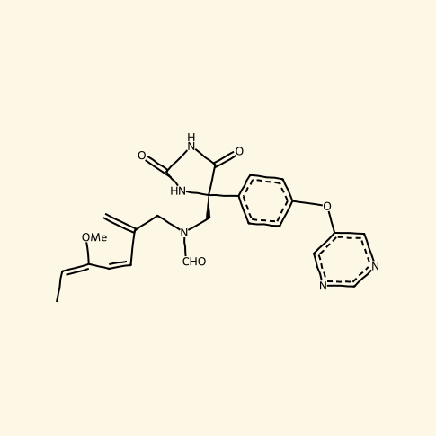 C=C(/C=C\C(=C/C)OC)CN(C=O)C[C@@]1(c2ccc(Oc3cncnc3)cc2)NC(=O)NC1=O